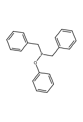 c1ccc(CP(Cc2ccccc2)Oc2ccccc2)cc1